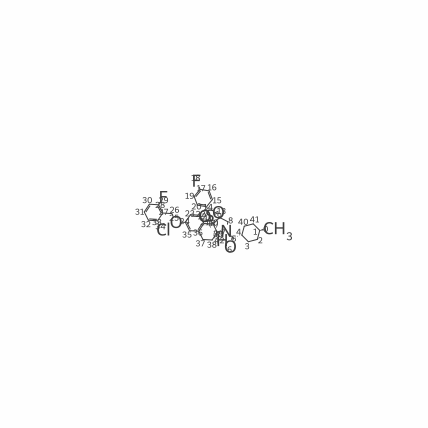 C[C@H]1CC[C@H](C(=O)N2CC[C@@]3(S(=O)(=O)c4ccc(F)cc4)c4ccc(OCc5c(F)cccc5Cl)cc4CC[C@@H]23)CC1